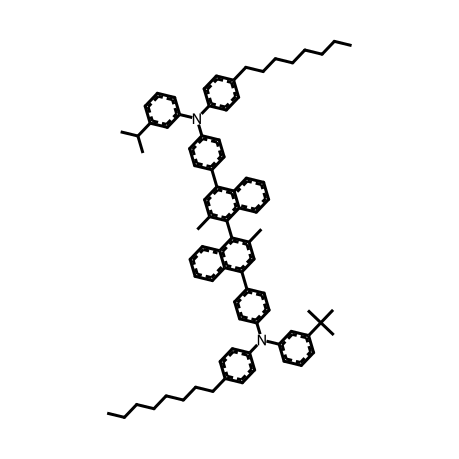 CCCCCCCCc1ccc(N(c2ccc(-c3cc(C)c(-c4c(C)cc(-c5ccc(N(c6ccc(CCCCCCCC)cc6)c6cccc(C(C)(C)C)c6)cc5)c5ccccc45)c4ccccc34)cc2)c2cccc(C(C)C)c2)cc1